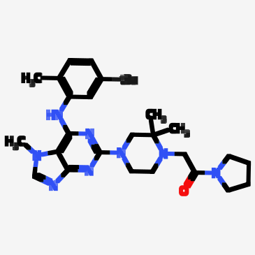 Cc1ccc(C(C)(C)C)cc1Nc1nc(N2CCN(CC(=O)N3CCCC3)C(C)(C)C2)nc2ncn(C)c12